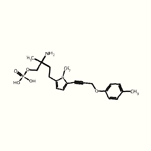 Cc1ccc(OCC#Cc2ccc(CCC(C)(N)COP(=O)(O)O)n2C)cc1